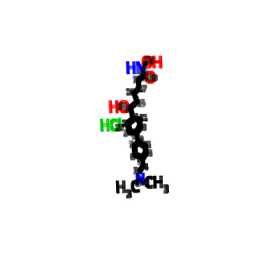 CN(C)CCc1ccc(-c2ccc(C(O)CCCCC(=O)NO)cc2)cc1.Cl